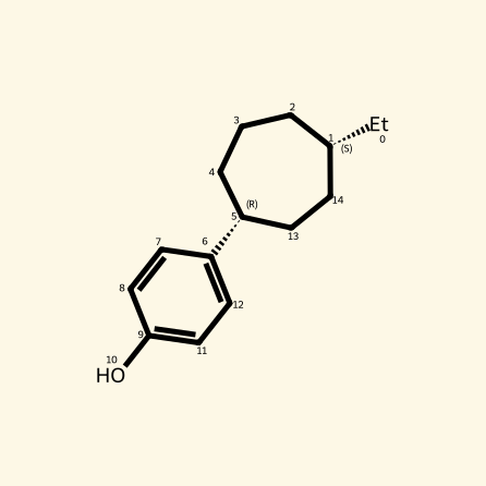 CC[C@H]1CCC[C@@H](c2ccc(O)cc2)CC1